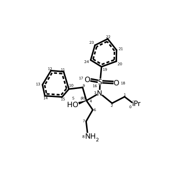 CC(C)CCN([C@](O)(CCN)Cc1ccccc1)S(=O)(=O)c1ccccc1